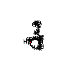 C/C1=C\C=C\[C@@H](C)[C@@]2(O)CC(OC(=O)N2)[C@@H](C)[C@@H]2O[C@@]2(C)[C@@H](OC(=O)[C@H](C)N(C)C(=O)CCC(SSCCCC(=O)ON2C(=O)CCC2=O)C(C)C)CC(=O)N(C)c2cc(cc(C)c2Cl)C1